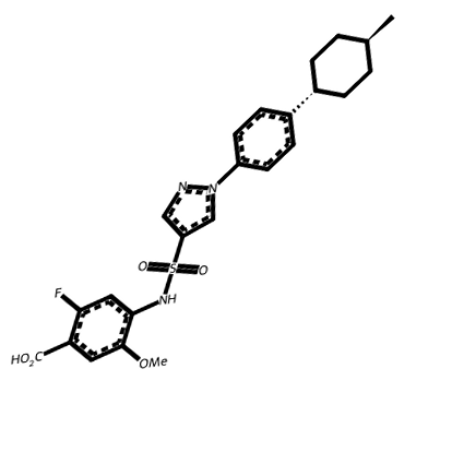 COc1cc(C(=O)O)c(F)cc1NS(=O)(=O)c1cnn(-c2ccc([C@H]3CC[C@H](C)CC3)cc2)c1